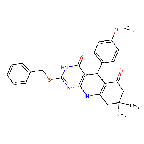 COc1ccc(C2C3=C(CC(C)(C)CC3=O)Nc3nc(SCc4ccccc4)[nH]c(=O)c32)cc1